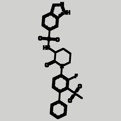 CS(=O)(=O)c1c(-c2ccccc2)ccc(N2CCCC(NS(=O)(=O)c3ccc4cn[nH]c4c3)C2=O)c1F